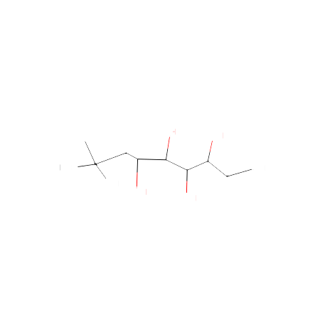 CCC(O)C(O)C(O)C(O)CC(C)(C)C